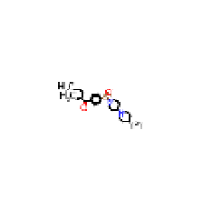 C=C/C=C\C(=C/C)C(=O)c1ccc([S+]([O-])N2CCC(N3CCC(CCC)CC3)CC2)cc1